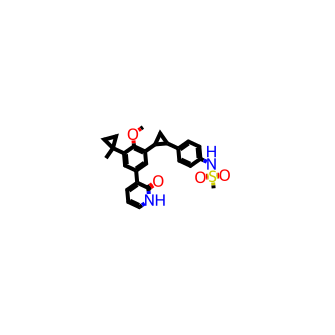 COc1c(C2CC2c2ccc(NS(C)(=O)=O)cc2)cc(-c2ccc[nH]c2=O)cc1C1(C)CC1